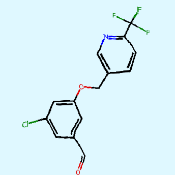 O=Cc1cc(Cl)cc(OCc2ccc(C(F)(F)F)nc2)c1